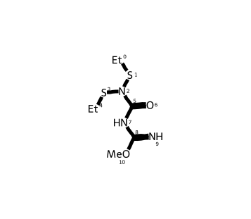 CCSN(SCC)C(=O)NC(=N)OC